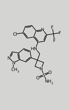 Cn1ncc2ccc(C3(CNc4cc(C(F)(F)F)nc5ccc(Cl)cc45)CN(S(N)(=O)=O)C3)cc21